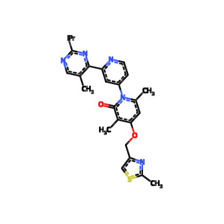 Cc1nc(COc2cc(C)n(-c3ccnc(-c4nc(C(C)C)ncc4C)c3)c(=O)c2C)cs1